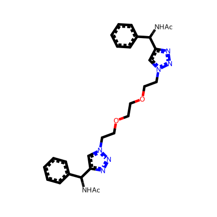 CC(=O)NC(c1ccccc1)c1cn(CCOCCOCCn2cc(C(NC(C)=O)c3ccccc3)nn2)nn1